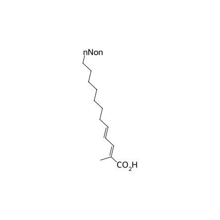 CCCCCCCCCCCCCCCC/C=C/C=C(\C)C(=O)O